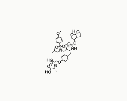 COc1ccc(S(=O)(=O)N(CC(C)C)C[C@@H](O)[C@H](Cc2ccc(OCP(=O)(O)O[C@H](C)C(=O)O)cc2)NC(=O)O[C@H]2CO[C@H]3OCCC32)cc1